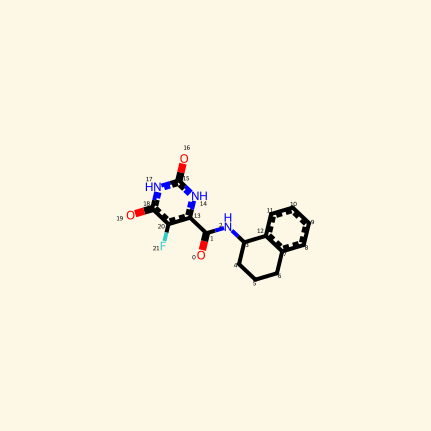 O=C(NC1CCCc2ccccc21)c1[nH]c(=O)[nH]c(=O)c1F